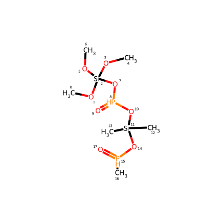 CO[Si](OC)(OC)O[PH](=O)O[Si](C)(C)O[PH](C)=O